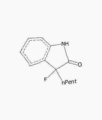 CCCCCC1(F)C(=O)Nc2ccccc21